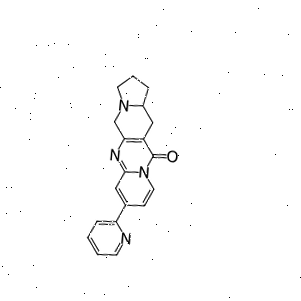 O=c1c2c(nc3cc(-c4ccccn4)ccn13)CN1CCCC1C2